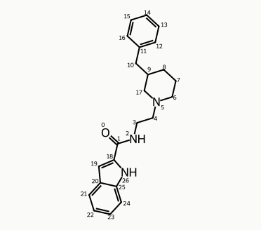 O=C(NCCN1CCCC(Cc2ccccc2)C1)c1cc2ccccc2[nH]1